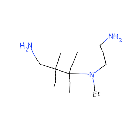 CCN(CCN)C(C)(C)C(C)(C)CN